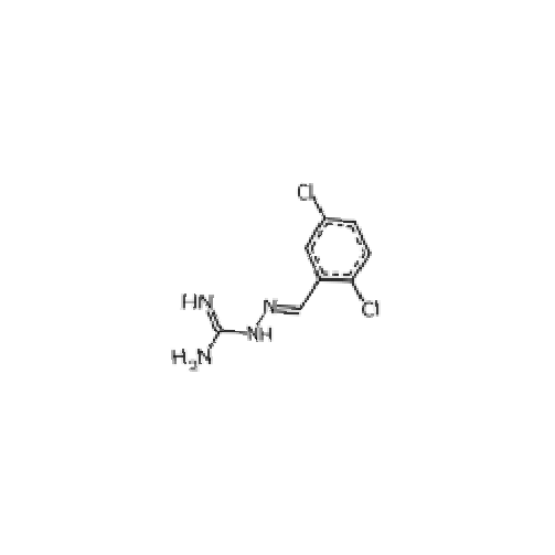 N=C(N)N/N=C/c1cc(Cl)ccc1Cl